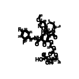 COC1=NO[C@@]2(CC[C@H](C)N3C[C@H]2n2cc(C(=O)NCc4ccc(F)cc4F)c(=O)c(OCOC(=O)O[C@H](C)[C@@H](C)OP(=O)(O)O)c2C3=O)C1